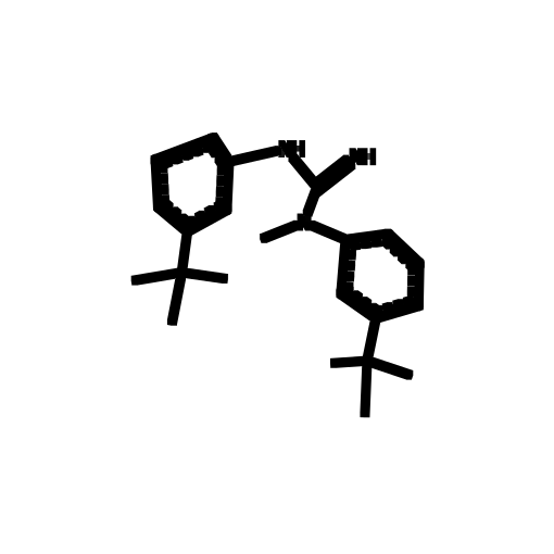 CN(C(=N)Nc1cccc(C(C)(C)C)c1)c1cccc(C(C)(C)C)c1